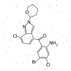 Nc1cc(Cl)c(Br)cc1C(=O)c1ccc(Cl)c2nn(C3CCCCO3)cc12